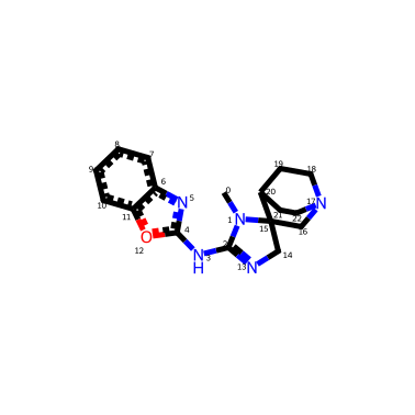 CN1C(Nc2nc3ccccc3o2)=NCC12CN1CCC2CC1